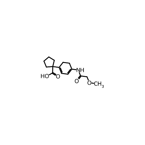 COCC(=O)NC1=CC=C(C2(C(=O)O)CCCC2)CC1